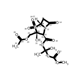 COC(=O)OC(C)(C)OC(=O)[C@@H]1N2C(=O)C[C@H]2S(=O)(=O)[C@@]1(C)COC(C)=O